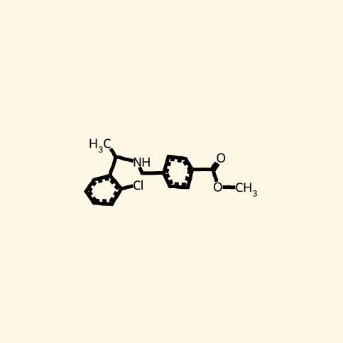 COC(=O)c1ccc(CNC(C)c2ccccc2Cl)cc1